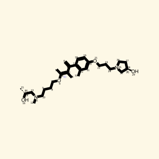 C=C(/C(C)=C(\C)OCCCCN(C)C[C@@H](C)O)c1ccc(OCCCN2CC[C@@H](O)C2)cc1C